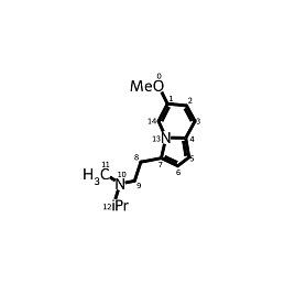 COc1ccc2ccc(CCN(C)C(C)C)n2c1